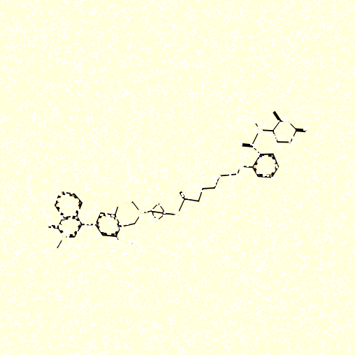 COc1cc(-c2cn(C)c(=O)c3cnccc23)cc(OC)c1CN(C)C12CC1(NC(=O)CCCCCOc1ccccc1C(=O)N(C(C)=O)C1CCC(=O)NC1=O)C2